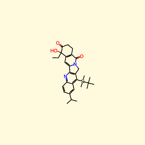 CCC1(O)C(=O)CCc2c1cc1n(c2=O)Cc2c-1nc1ccc(C(C)C)cc1c2[Si](C)(C)C(C)(C)C